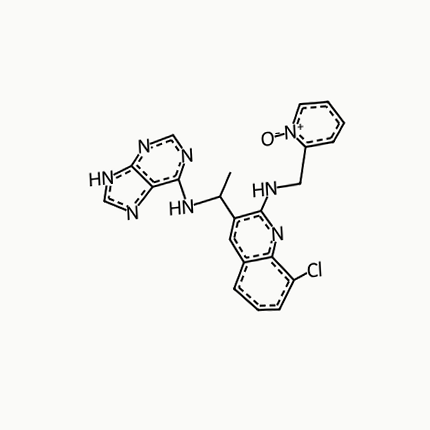 CC(Nc1ncnc2[nH]cnc12)c1cc2cccc(Cl)c2nc1NCc1cccc[n+]1[O-]